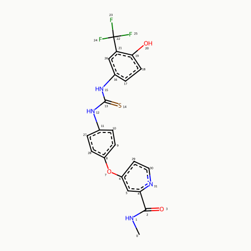 CNC(=O)c1cc(Oc2ccc(NC(=S)Nc3ccc(O)c(C(F)(F)F)c3)cc2)ccn1